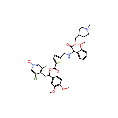 COc1ccc(C(Cc2c(Cl)c[n+]([O-])cc2Cl)OC(=O)c2ccc(CNC(C(=O)OCC3CCN(C)CC3)c3ccccc3OC)s2)cc1OC